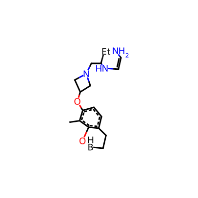 CCC(CN1CC(Oc2ccc3c(c2C)OBCC3)C1)N/C=C\N